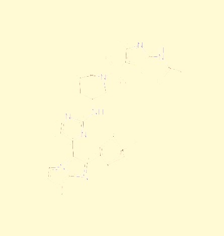 CC(=O)Nc1nc(C)c(S(=O)(=O)N2CCC[C@@H](Nc3nccc(-c4c(-c5ccc(F)cc5)nc5occn45)n3)C2)s1